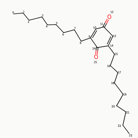 CCCCCCCCCC1=CC(=O)C=C(CCCCCCCCC)C1=O